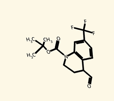 CC(C)(C)OC(=O)N1CCC(C=O)c2ccc(C(F)(F)F)cc21